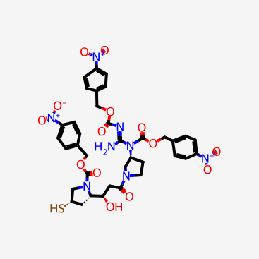 NC(=NC(=O)OCc1ccc([N+](=O)[O-])cc1)N(C(=O)OCc1ccc([N+](=O)[O-])cc1)[C@H]1CCN(C(=O)C[C@@H](O)[C@@H]2C[C@H](S)CN2C(=O)OCc2ccc([N+](=O)[O-])cc2)C1